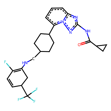 O=C(Nc1nc2cccc(C3CCC(CNC4=C(F)C=CC(C(F)(F)F)C4)CC3)n2n1)C1CC1